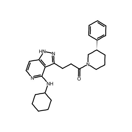 O=C(CCc1n[nH]c2ccnc(NC3CCCCC3)c12)N1CCC[C@@H](c2ccccc2)C1